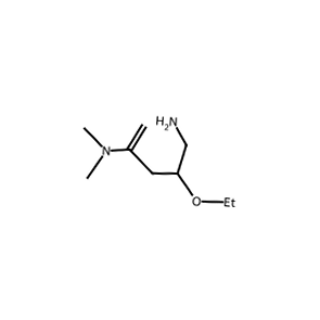 C=C(CC(CN)OCC)N(C)C